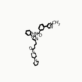 Cn1cc(-c2cccc(C(=O)Nc3nc(CCCC(=O)N4CCC(N5CCCC5)CC4)cn3-c3ccccc3)c2)cn1